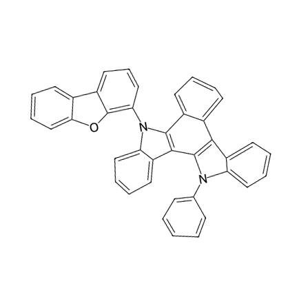 c1ccc(-n2c3ccccc3c3c4ccccc4c4c(c5ccccc5n4-c4cccc5c4oc4ccccc45)c32)cc1